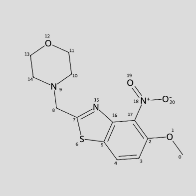 COc1ccc2sc(CN3CCOCC3)nc2c1[N+](=O)[O-]